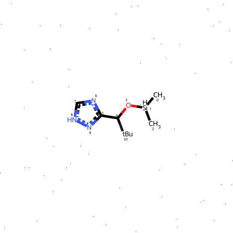 C[SiH](C)OC(c1nc[nH]n1)C(C)(C)C